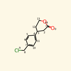 O=C1CC(c2ccc(CCl)cc2)CCO1